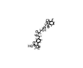 Cc1cccc(S(=O)(=O)CNCCCCC(=O)N(C)Cc2ccc(C3=NCCN3C(=O)O)cc2)c1Cl